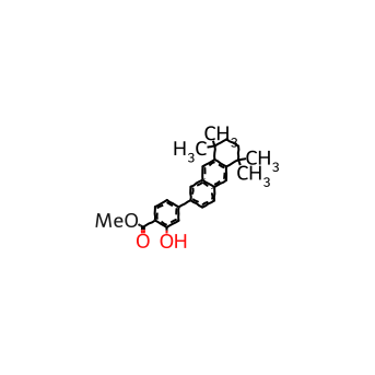 COC(=O)c1ccc(-c2ccc3cc4c(cc3c2)C(C)(C)CCC4(C)C)cc1O